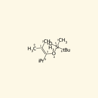 CC(C)=C(O[Si](C)(C)C(C)(C)C)C(C)C